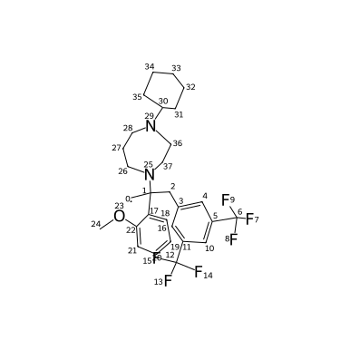 [CH2]C(Cc1cc(C(F)(F)F)cc(C(F)(F)F)c1)(c1ccccc1OC)N1CCCN(C2CCCCC2)CC1